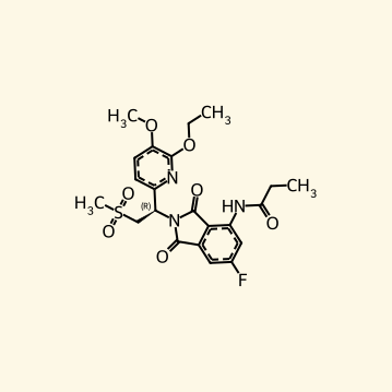 CCOc1nc([C@H](CS(C)(=O)=O)N2C(=O)c3cc(F)cc(NC(=O)CC)c3C2=O)ccc1OC